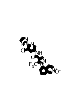 O=C(Nc1cnc(-n2nccn2)c(Cl)c1)c1cnn(-c2cccc3c[n+]([O-])ccc23)c1C(F)(F)F